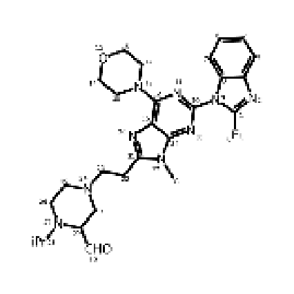 CCc1nc2ccccc2n1-c1nc(N2CCOCC2)c2nc(CCN3CCN(C(C)C)C(C=O)C3)n(C)c2n1